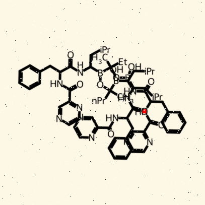 CCCC(C)(OB(C(CC(C)C)NC(=O)C(Cc1ccccc1)NC(=O)c1cnccn1)C(C)(CC)OB(O)C(CC(C)C)NC(=O)C(Cc1ccccc1)NC(=O)c1cnccn1)B(O)C(CC(C)C)NC(=O)C(Cc1ccccc1)NC(=O)c1cnccn1